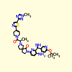 CC(C)Oc1ccc(C(=N)c2nc(N3CC[C@]4(CCN(C(C)C(=O)N5CC=C(c6ncc(-c7ncn(C)n7)s6)CC5)C4)C3=O)ccc2N)cn1